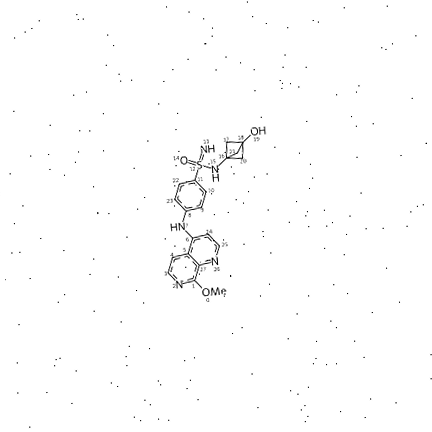 COc1nccc2c(Nc3ccc(S(=N)(=O)NC45CC(O)(C4)C5)cc3)ccnc12